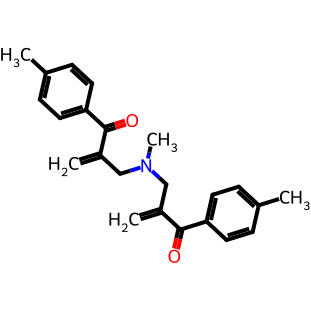 C=C(CN(C)CC(=C)C(=O)c1ccc(C)cc1)C(=O)c1ccc(C)cc1